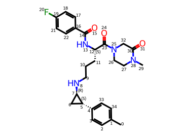 Cc1ccc([C@@H]2C[C@H]2NCCC[C@H](NC(=O)c2ccc(F)cc2)C(=O)N2CCN(C)C(=O)C2)cc1